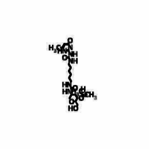 Cc1cc(=O)nc(NC(=O)NCCCCCCNC(=O)N[C@H]2CO[C@H](CO)[C@@H](O[SiH](C)C)C2)[nH]1